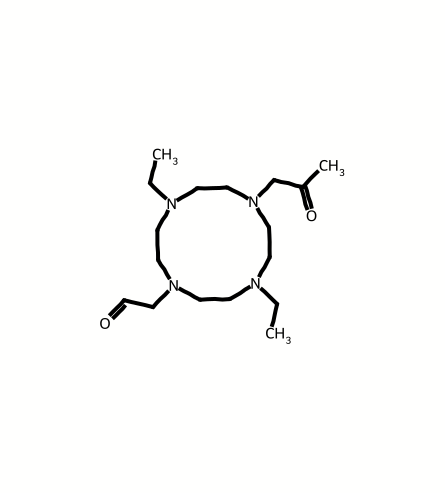 CCN1CCN(CC=O)CCN(CC)CCN(CC(C)=O)CC1